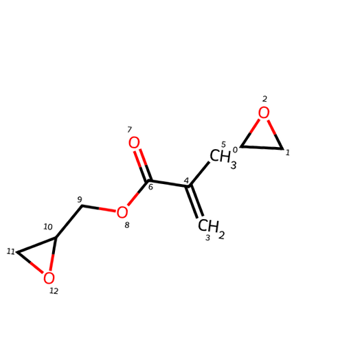 C1CO1.C=C(C)C(=O)OCC1CO1